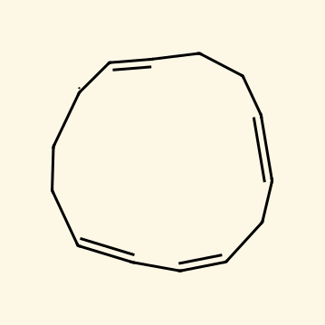 [CH]1C=CCCC=CCC=CC=CCC1